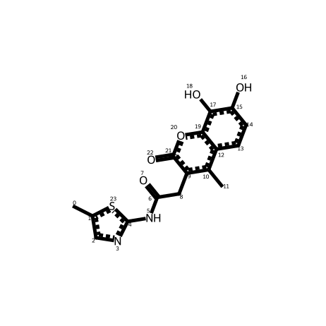 Cc1cnc(NC(=O)Cc2c(C)c3ccc(O)c(O)c3oc2=O)s1